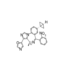 C[C@@H]1N=C(c2ccccc2[N+](=O)[O-])c2cc([C@]34C[C@H]3C4)ccc2-n2cnc(-c3cnco3)c21